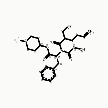 C=CCCC(CC(C)C)C(=O)N(C(=O)NO)[C@@H](Cc1ccccc1)C(=O)OC1CCN(C)CC1